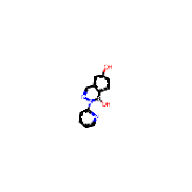 OB1c2ccc(O)cc2C=NN1c1ccccn1